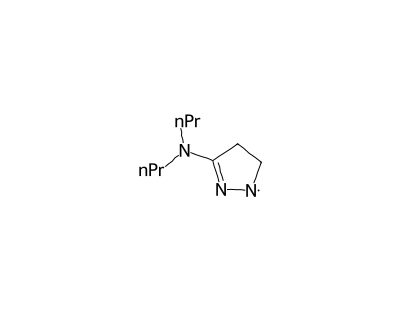 CCCN(CCC)C1=N[N]CC1